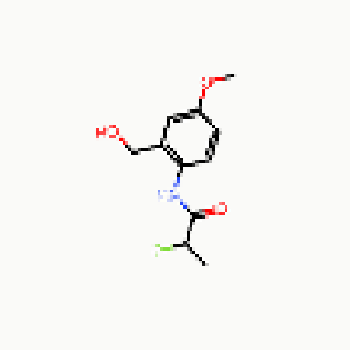 COc1ccc(NC(=O)C(C)F)c(CO)c1